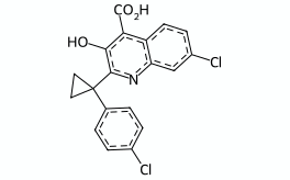 O=C(O)c1c(O)c(C2(c3ccc(Cl)cc3)CC2)nc2cc(Cl)ccc12